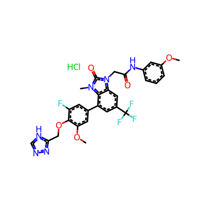 COc1cccc(NC(=O)Cn2c(=O)n(C)c3c(-c4cc(F)c(OCc5nnc[nH]5)c(OC)c4)cc(C(F)(F)F)cc32)c1.Cl